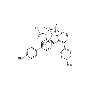 CCC1=Cc2c(-c3ccc(C(C)(C)C)cc3)cccc2[CH]1[Zr]([CH3])([CH3])([CH]1C(CC)=Cc2c(-c3ccc(C(C)(C)C)cc3)cccc21)[SiH](C)C